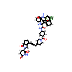 CN1[C@@H](C(=O)N(C)[C@H]2CC[C@H](C(=O)N3CCC(CC#Cc4cccc5c4CN(C4CCC(=O)NC4=O)C5=O)CC3)CC2)[C@H](c2cccc(Cl)c2F)[C@]2(C(=O)Nc3cc(Cl)ccc32)C12CCCCC2